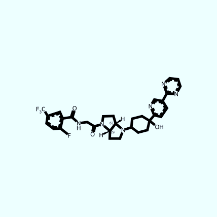 O=C(NCC(=O)N1CC[C@H]2[C@@H]1CCN2C1CCC(O)(c2ccc(-c3ncccn3)cn2)CC1)c1cc(C(F)(F)F)ccc1F